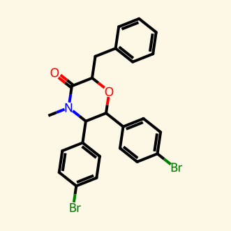 CN1C(=O)C(Cc2ccccc2)OC(c2ccc(Br)cc2)C1c1ccc(Br)cc1